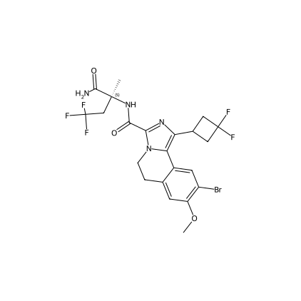 COc1cc2c(cc1Br)-c1c(C3CC(F)(F)C3)nc(C(=O)N[C@@](C)(CC(F)(F)F)C(N)=O)n1CC2